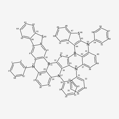 c1ccc(N2c3cc4c(cc3B3c5sc6c(c5N(c5ccccc5)c5cccc2c53)N(c2ccccc2)c2cccc3c2B6c2c(sc5ccccc25)N3c2ccccc2)sc2ccccc24)cc1